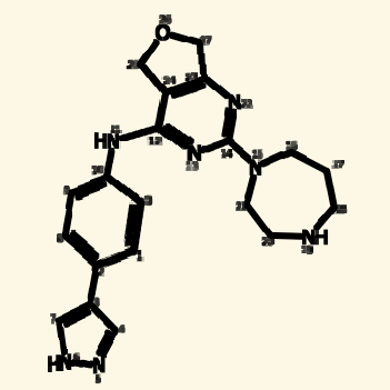 c1cc(-c2cn[nH]c2)ccc1Nc1nc(N2CCCNCC2)nc2c1COC2